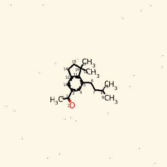 CC(=O)c1cc(CCC(C)C)c2c(c1)CCC2(C)C